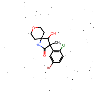 CC1(c2cc(Br)ccc2Cl)C(=O)NC2(CCOCC2)C1O